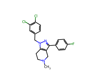 CN1CCc2c(c(-c3ccc(F)cc3)nn2Cc2ccc(Cl)c(Cl)c2)C1